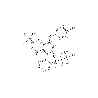 O[C@H](CN(Cc1cccc(C(F)(F)C(F)(F)C(F)(F)F)c1)c1cccc(Oc2ccc(F)cc2)c1)C(F)(F)F